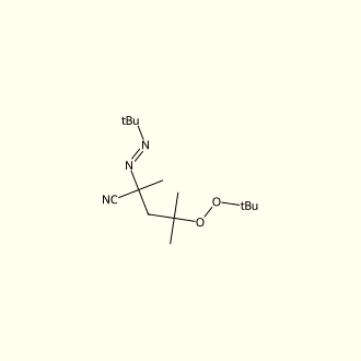 CC(C)(C)/N=N/C(C)(C#N)CC(C)(C)OOC(C)(C)C